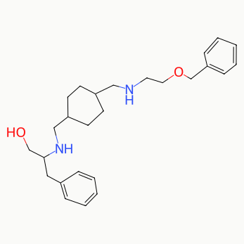 OCC(Cc1ccccc1)NCC1CCC(CNCCOCc2ccccc2)CC1